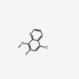 COc1c(I)cc(Cl)c2cccnc12